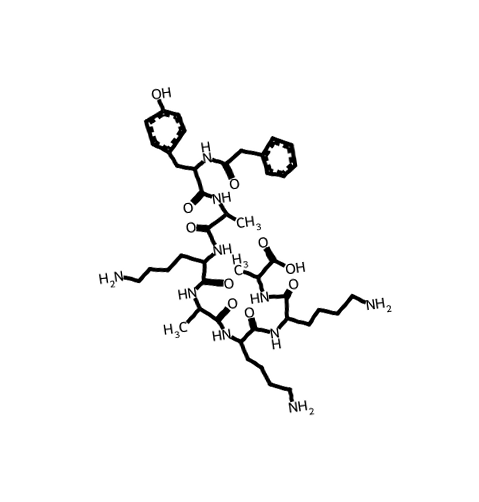 CC(NC(=O)C(CCCCN)NC(=O)C(CCCCN)NC(=O)C(C)NC(=O)C(CCCCN)NC(=O)C(C)NC(=O)C(Cc1ccc(O)cc1)NC(=O)Cc1ccccc1)C(=O)O